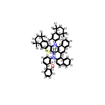 Cc1cc2c(cc1N1c3c(c(-c4c(Nc5cccc6c5oc5ccccc56)ccc5ccccc45)cc4ccccc34)Bc3sc4cc5c(cc4c31)C(C)(C)CCC5(C)C)C(C)(C)CCC2(C)C